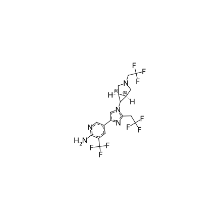 Nc1ncc(-c2cn(C3[C@H]4CN(CC(F)(F)F)C[C@@H]34)c(CC(F)(F)F)n2)cc1C(F)(F)F